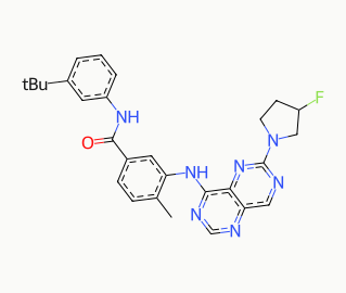 Cc1ccc(C(=O)Nc2cccc(C(C)(C)C)c2)cc1Nc1ncnc2cnc(N3CCC(F)C3)nc12